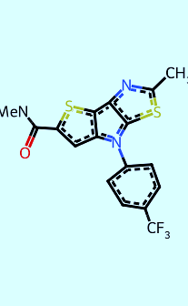 CNC(=O)c1cc2c(s1)c1nc(C)sc1n2-c1ccc(C(F)(F)F)cc1